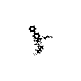 CN(C(F)(F)C1(COCCO)C=CC(c2ccccc2)=CC1)S(=O)(=O)C(F)(F)C(F)(F)C(F)(F)C(F)(F)F